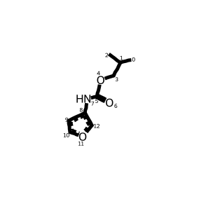 CC(C)COC(=O)Nc1ccoc1